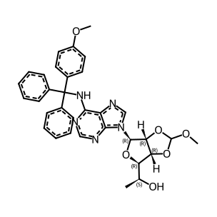 COc1ccc(C(Nc2ncnc3c2ncn3[C@@H]2O[C@H]([C@H](C)O)[C@H]3OC(OC)O[C@H]32)(c2ccccc2)c2ccccc2)cc1